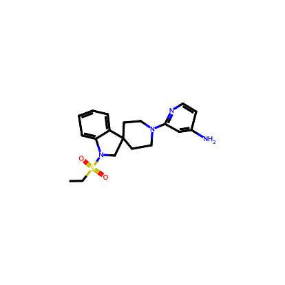 CCS(=O)(=O)N1CC2(CCN(c3cc(N)ccn3)CC2)c2ccccc21